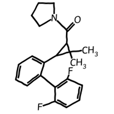 CC1(C)C(C(=O)N2CCCC2)C1c1ccccc1-c1c(F)cccc1F